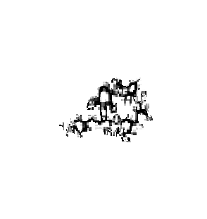 CC(C)(C)OC(=O)CC(CCOCCCCC1CCC(N)CC1)CCC1(C(=O)Nc2cccc3c2CN(C2CCC(=O)NC2=O)C3=O)CC1